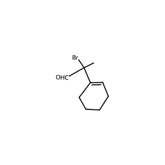 CC(Br)(C=O)C1=CCCCC1